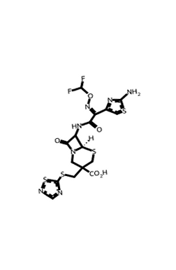 Nc1nc(C(=NOC(F)F)C(=O)NC2C(=O)N3CC(CSc4ncns4)(C(=O)O)CS[C@H]23)cs1